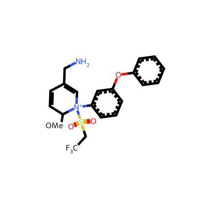 COC1C=CC(CN)=C[N+]1(c1cccc(Oc2ccccc2)c1)S(=O)(=O)CC(F)(F)F